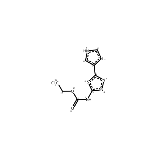 O=C(Nc1nnc(-c2c[nH]cn2)s1)OCC(Cl)(Cl)Cl